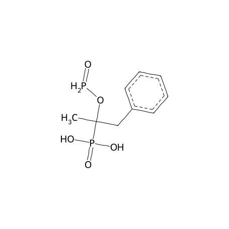 CC(Cc1ccccc1)(O[PH2]=O)P(=O)(O)O